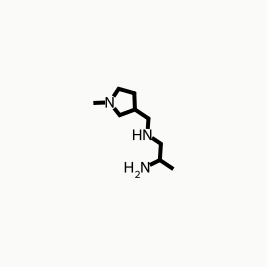 CC(N)CNCC1CCN(C)C1